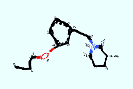 CC[CH]Oc1cccc(CN2CCCCC2)c1